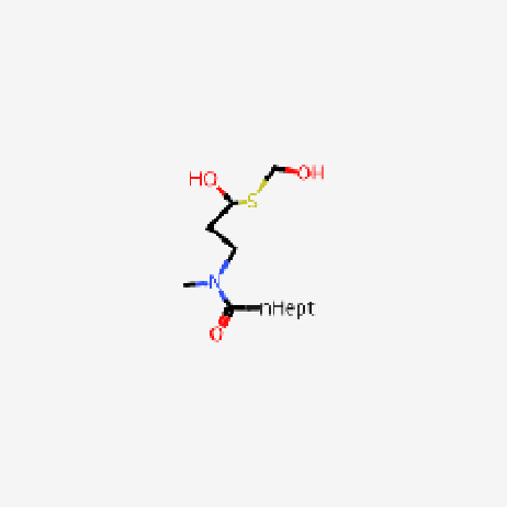 CCCCCCCC(=O)N(C)CCC(O)SCO